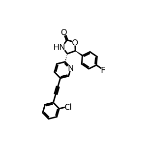 O=C1N[C@@H](c2ccc(C#Cc3ccccc3Cl)cn2)[C@H](c2ccc(F)cc2)O1